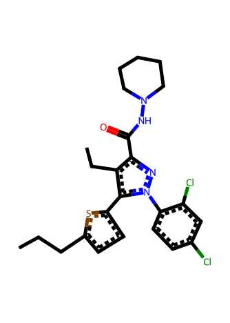 CCCc1ccc(-c2c(CC)c(C(=O)NN3CCCCC3)nn2-c2ccc(Cl)cc2Cl)s1